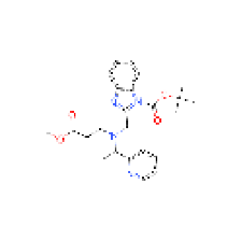 COC(=O)CCN(Cc1nc2ccccc2n1C(=O)OC(C)(C)C)C(C)c1ccccn1